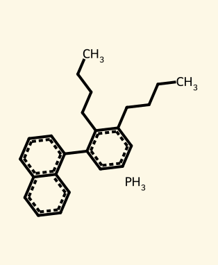 CCCCc1cccc(-c2cccc3ccccc23)c1CCCC.P